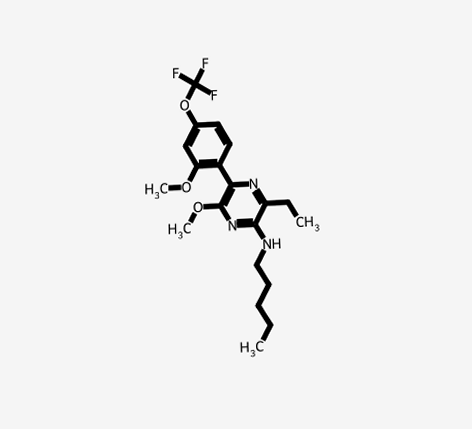 CCCCCNc1nc(OC)c(-c2ccc(OC(F)(F)F)cc2OC)nc1CC